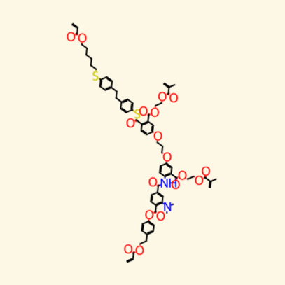 C=CC(=O)OCCCCCCSc1ccc(CCc2ccc(SC(=O)c3ccc(OCCCOc4ccc(NC(=O)c5ccc(C(=O)Oc6ccc(CCOC(=O)C=C)cc6)c(N(C)C)c5)c(C(=O)OCCOC(=O)C(=C)C)c4)cc3C(=O)OCCOC(=O)C(=C)C)cc2)cc1